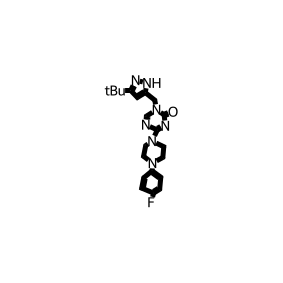 CC(C)(C)c1cc(Cn2cnc(N3CCN(c4ccc(F)cc4)CC3)nc2=O)[nH]n1